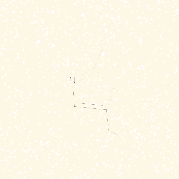 CCc1nc(C)c(C(C)C)o1